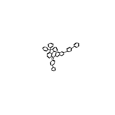 c1ccc(-c2ccc(-c3ccc4cc(N(c5ccc(-c6ccccc6)cc5)c5cccc6c5-c5ccccc5C6(c5ccccc5)c5ccccc5)ccc4c3)cc2)cc1